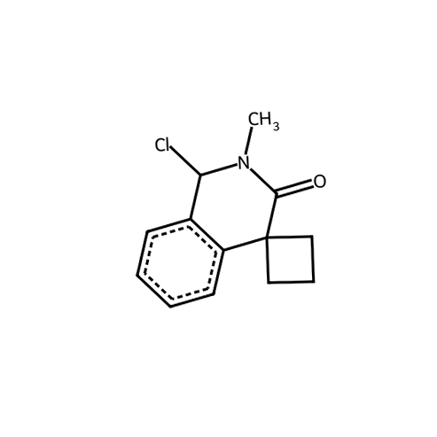 CN1C(=O)C2(CCC2)c2ccccc2C1Cl